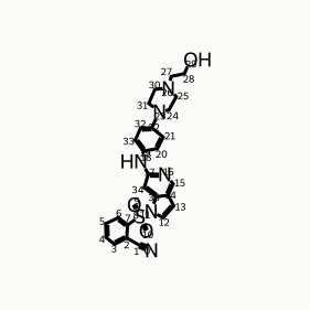 N#Cc1ccccc1S(=O)(=O)n1ccc2cnc(Nc3ccc(N4CCN(CCO)CC4)cc3)cc21